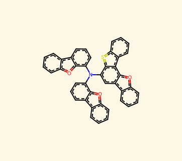 c1ccc2c(c1)oc1c(N(c3cccc4c3oc3ccccc34)c3cc4c5ccccc5oc4c4c3sc3ccccc34)cccc12